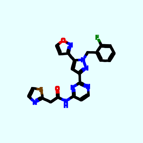 O=C(Cc1nccs1)Nc1ccnc(-c2cc(-c3ccon3)n(Cc3ccccc3F)n2)n1